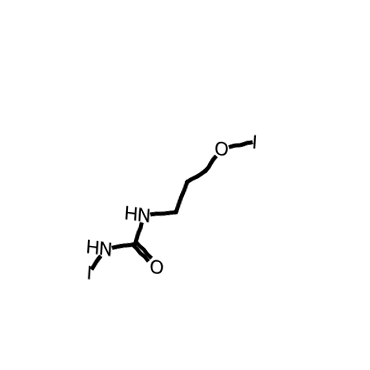 O=C(NI)NCCCOI